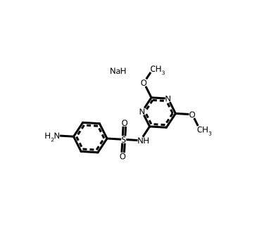 COc1cc(NS(=O)(=O)c2ccc(N)cc2)nc(OC)n1.[NaH]